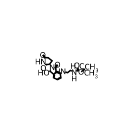 CC(C)(C)OC(=O)NCCNc1cccc2c1C(=O)N(C1CCC(=O)NC1=O)C2O